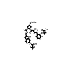 COC[C@H]1C[C@@H](C(=O)NCc2cc3cnccc3[nH]2)N(C(=O)C(N)CCc2ccccc2)C1.O=C(O)C(F)(F)F.O=C(O)C(F)(F)F